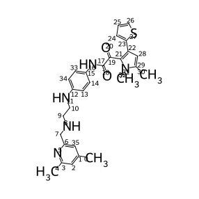 Cc1cc(C)nc(CNCCNc2ccc(NC(=O)C(=O)c3c(-c4cccs4)cc(C)n3C)cc2)c1